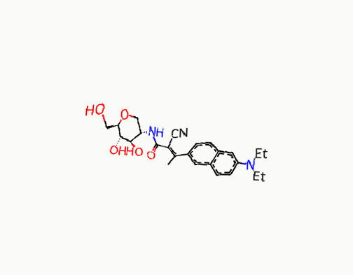 CCN(CC)c1ccc2cc(/C(C)=C(\C#N)C(=O)N[C@H]3CO[C@H](CO)[C@@H](O)[C@@H]3O)ccc2c1